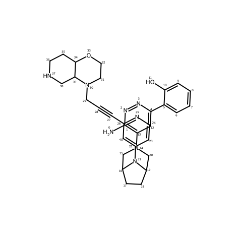 Nc1nnc(-c2ccccc2O)cc1N1CC2CCC(C1)N2c1ccnc(C#CCN2CCOC3CCNCC32)c1